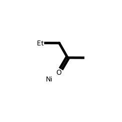 CCCC(C)=O.[Ni]